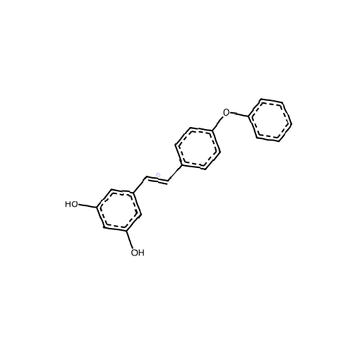 Oc1cc(O)cc(/C=C/c2ccc(Oc3ccccc3)cc2)c1